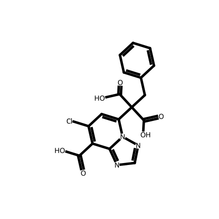 O=C(O)c1c(Cl)cc(C(Cc2ccccc2)(C(=O)O)C(=O)O)n2ncnc12